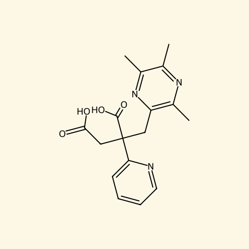 Cc1nc(C)c(CC(CC(=O)O)(C(=O)O)c2ccccn2)nc1C